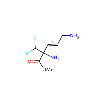 COC(=O)C(N)(/C=C/CN)C(F)F